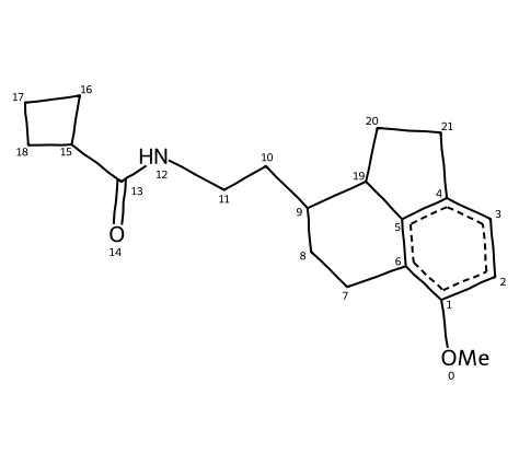 COc1ccc2c3c1CCC(CCNC(=O)C1CCC1)C3CC2